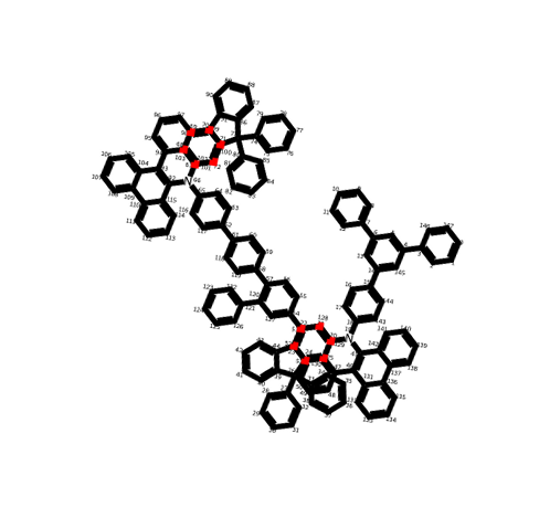 c1ccc(-c2cc(-c3ccccc3)cc(-c3ccc(N(c4ccc5c(c4)C(c4ccccc4)(c4ccccc4)c4ccccc4-5)c4c(-c5cccc6cc(-c7ccc(-c8ccc(-c9ccc(N(c%10ccc%11c(c%10)C(c%10ccccc%10)(c%10ccccc%10)c%10ccccc%10-%11)c%10c(-c%11cccc%12ccccc%11%12)c%11ccccc%11c%11ccccc%10%11)cc9)cc8)c(-c8ccccc8)c7)ccc56)c5ccccc5c5ccccc45)cc3)c2)cc1